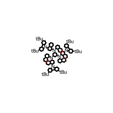 CC(C)(C)c1ccc2c(c1)c1cc(C(C)(C)C)ccc1n2-c1ccc(N(c2cc(N(c3cccc4ccccc34)c3ccc(-n4c5ccc(C(C)(C)C)cc5c5cc(C(C)(C)C)ccc54)c4ccccc34)cc(N(c3cccc4ccccc34)c3ccc(-n4c5ccc(C(C)(C)C)cc5c5cc(C(C)(C)C)ccc54)c4ccccc34)c2)c2cccc3ccccc23)c2ccccc12